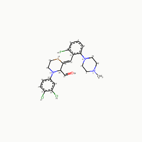 CN1CCN(c2cccc(F)c2C=C2SCCN(c3ccc(Cl)c(Cl)c3)C2C=O)CC1